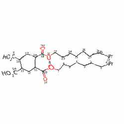 CC(C)CCCCCCCOC(=O)C1CC(C(=O)O)C(C(=O)O)CC1C(=O)OCCCCCCCC(C)C